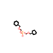 O=[PH](OCOCc1ccccc1)OCOCc1ccccc1